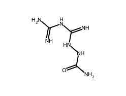 N=C(N)NC(=N)NNC(N)=O